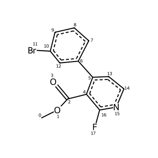 COC(=O)c1c(-c2cccc(Br)c2)ccnc1F